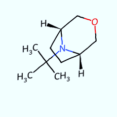 CC(C)(C)N1[C@@H]2CC[C@H]1COC2